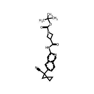 CC(C)(C)OC(=O)N1CC(C(=O)Nc2cc3cc(C4(C#N)CC45CC5)ccc3cn2)C1